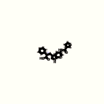 O=C(O)/C(=C\c1c[nH]c2ncc(NC(=O)c3ccsc3)cc12)c1ccccc1